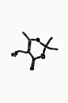 BC1=C(C)OC(C)(C)OC1=O